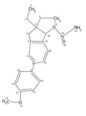 CCC1(CC)Cc2cc(-c3ccc(OC)cc3)ccc2C1OC(N)=O